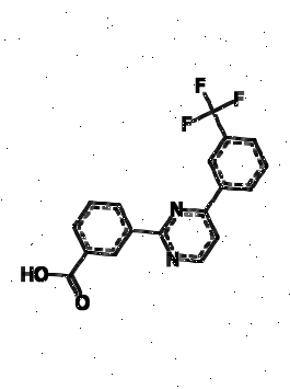 O=C(O)c1cccc(-c2nccc(-c3cccc(C(F)(F)F)c3)n2)c1